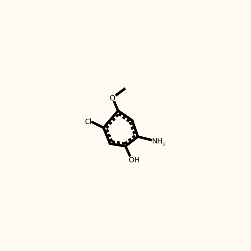 COc1cc(N)c(O)cc1Cl